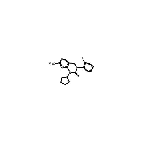 CSc1ncc2c(n1)N(C1CCCC1)C(=O)N(c1ccccc1F)C2